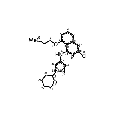 COCCOc1cccc2nc(Cl)nc(Nc3cnn(C4CCCCO4)c3)c12